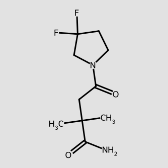 CC(C)(CC(=O)N1CCC(F)(F)C1)C(N)=O